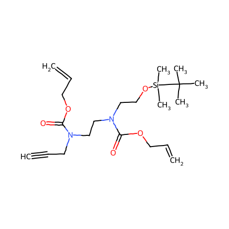 C#CCN(CCN(CCO[Si](C)(C)C(C)(C)C)C(=O)OCC=C)C(=O)OCC=C